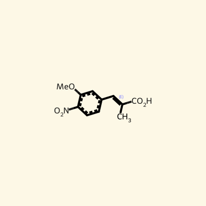 COc1cc(/C=C(\C)C(=O)O)ccc1[N+](=O)[O-]